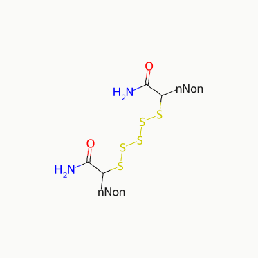 CCCCCCCCCC(SSSSSC(CCCCCCCCC)C(N)=O)C(N)=O